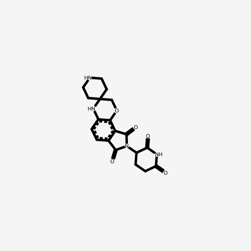 O=C1CCC(N2C(=O)c3ccc4c(c3C2=O)OCC2(CCNCC2)N4)C(=O)N1